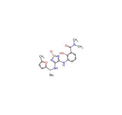 Cc1ccc([C@H](Nc2n[s+]([O-])nc2Nc2cccc(C(=O)N(C)C)c2O)C(C)(C)C)o1